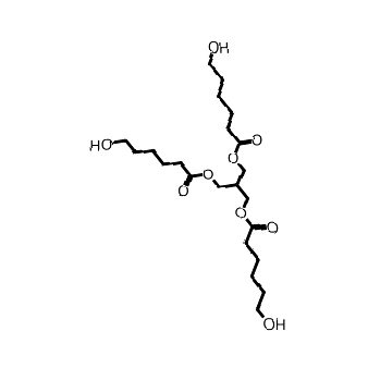 O=C(CCCCCO)OCC(COC(=O)CCCCCO)COC(=O)CCCCCO